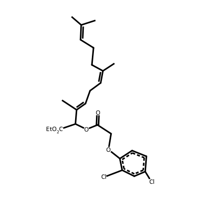 CCOC(=O)C(OC(=O)COc1ccc(Cl)cc1Cl)C(C)=CCC=C(C)CCC=C(C)C